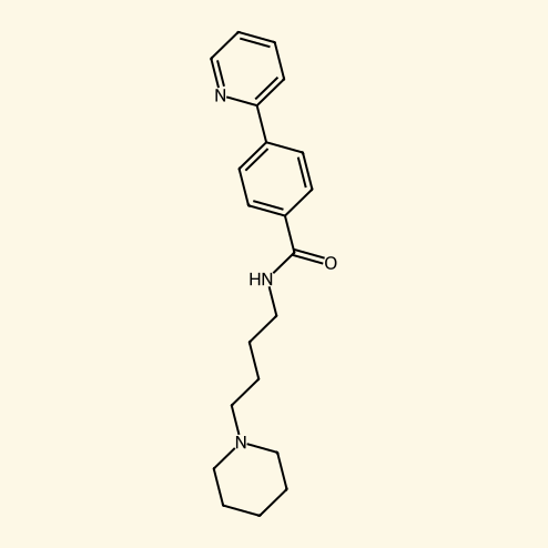 O=C(NCCCCN1CCCCC1)c1ccc(-c2ccccn2)cc1